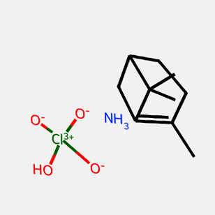 CC1=C2CC(CC1)C2(C)C.N.[O-][Cl+3]([O-])([O-])O